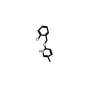 CC1=CNC(OCc2ccccc2Cl)C=C1